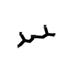 FC(F)CNCC(F)F